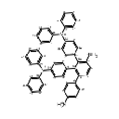 Nc1ccc(-c2ccc(N)c(-c3ccc(N(c4ccccc4)c4ccccc4)cc3)c2-c2ccc(N(c3ccccc3)c3ccccc3)cc2)cc1